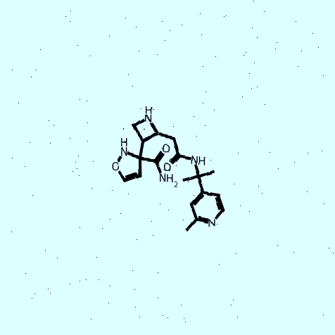 Cc1cc(C(C)(C)NC(=O)CC2NCC2C2(C(N)=O)C=CON2)ccn1